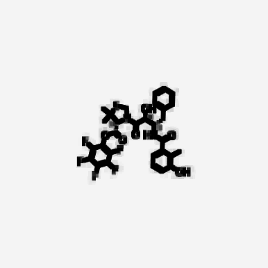 Cc1c(O)cccc1C(=O)N[C@@H](Cc1ccccc1)[C@H](O)C(=O)N1CSC(C)(C)[C@H]1C(=O)Oc1c(F)c(F)c(F)c(F)c1F